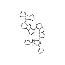 c1ccc(C2=NC(c3ccc4sc5cccc(-c6cccc7c6sc6c(-n8c9ccccc9c9ccccc98)cccc67)c5c4c3)NC(c3ccccc3)N2)cc1